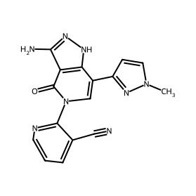 Cn1ccc(-c2cn(-c3ncccc3C#N)c(=O)c3c(N)n[nH]c23)n1